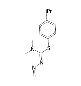 C=N/N=C(/Sc1ccc(C(C)C)cc1)N(C)C